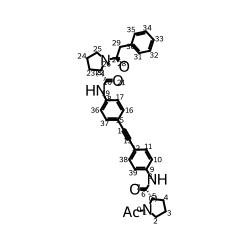 CC(=O)N1CCC[C@H]1C(=O)Nc1ccc(C#Cc2ccc(NC(=O)[C@@H]3CCCN3C(=O)Cc3ccccc3)cc2)cc1